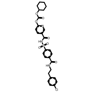 O=C(Oc1ccc(C(=O)NS(=O)(=O)c2ccc(C(=O)NCCc3ccc(Cl)cc3)cc2)cn1)OC1CCCCC1